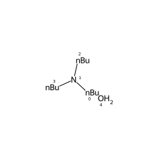 CCCCN(CCCC)CCCC.O